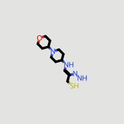 N=N/C(=C\NC1CCN(C2CCOCC2)CC1)CS